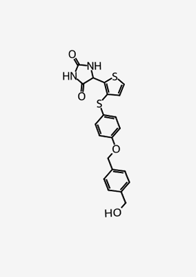 O=C1NC(=O)C(c2sccc2Sc2ccc(OCc3ccc(CO)cc3)cc2)N1